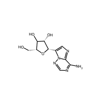 Nc1ncnn2c([C@@H]3O[C@H](CO)C(O)[C@@H]3O)cnc12